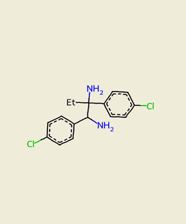 CCC(N)(c1ccc(Cl)cc1)C(N)c1ccc(Cl)cc1